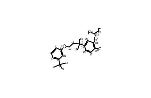 CC(C)(C)c1cccc(OCCC(C)(C)c2ccc(F)c(OC(F)F)c2)c1